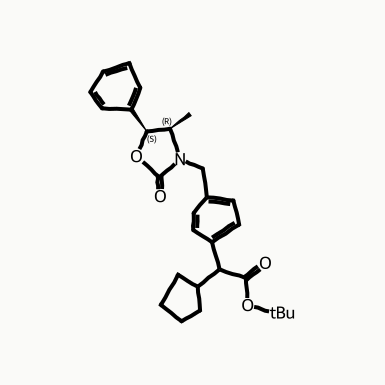 C[C@@H]1[C@H](c2ccccc2)OC(=O)N1Cc1ccc(C(C(=O)OC(C)(C)C)C2CCCC2)cc1